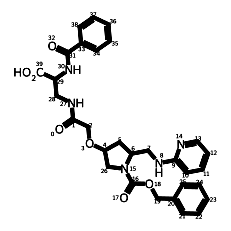 O=C(COC1CC(CNc2ccccn2)N(C(=O)OCc2ccccc2)C1)NCC(NC(=O)c1ccccc1)C(=O)O